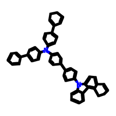 C1=CC(c2ccc(N(c3ccc(-c4ccccc4)cc3)c3ccc(-c4ccc(-n5c6ccccc6c6c7c(ccc65)C=CCC7)cc4)cc3)cc2)=CCC1